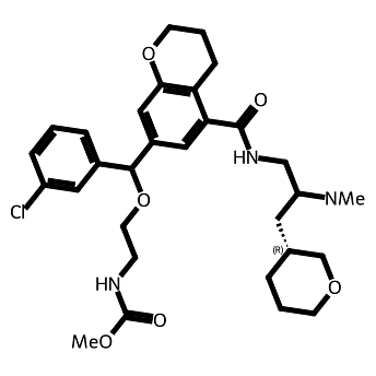 CNC(CNC(=O)c1cc(C(OCCNC(=O)OC)c2cccc(Cl)c2)cc2c1CCCO2)C[C@H]1CCCOC1